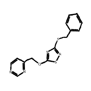 c1ccc(CSc2nsc(OCc3ccncn3)n2)cc1